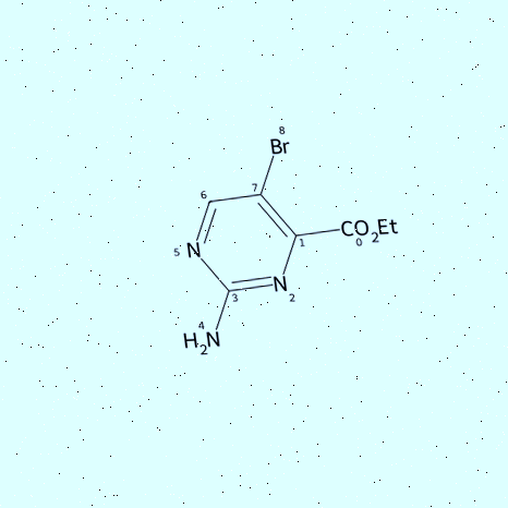 CCOC(=O)c1nc(N)ncc1Br